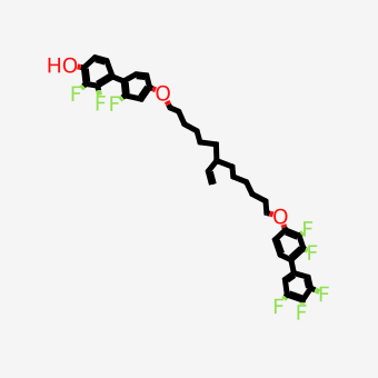 C=CC(CCCCCCOc1ccc(-c2ccc(O)c(F)c2F)c(F)c1)CCCCCCOc1ccc(-c2cc(F)c(F)c(F)c2)c(F)c1F